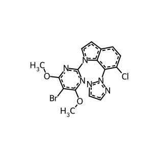 COc1nc(-n2ccc3ccc(Cl)c(-n4nccn4)c32)nc(OC)c1Br